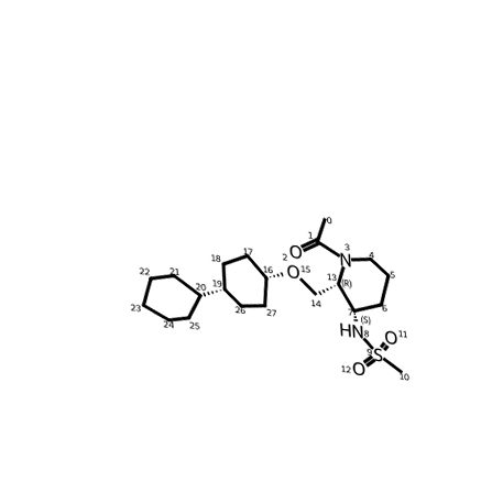 CC(=O)N1CCC[C@H](NS(C)(=O)=O)[C@@H]1CO[C@H]1CC[C@@H](C2CCCCC2)CC1